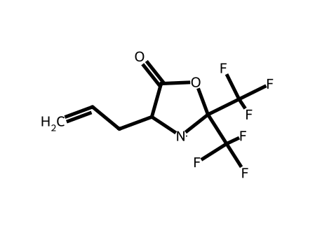 C=CCC1[N]C(C(F)(F)F)(C(F)(F)F)OC1=O